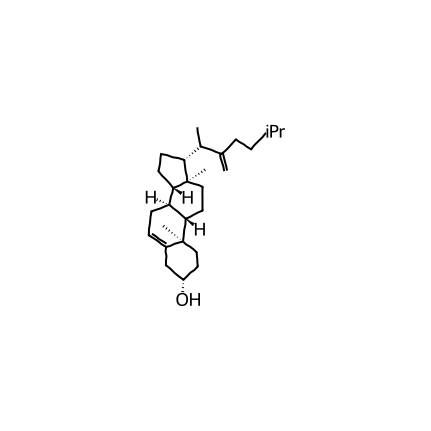 C=C(CCC(C)C)C(C)[C@H]1CC[C@H]2[C@@H]3CC=C4C[C@@H](O)CC[C@]4(C)[C@H]3CC[C@]12C